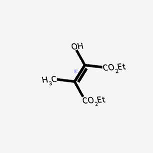 CCOC(=O)/C(C)=C(/O)C(=O)OCC